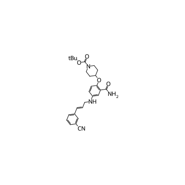 CC(C)(C)OC(=O)N1CCC(Oc2ccc(NCC=Cc3cccc(C#N)c3)cc2C(N)=O)CC1